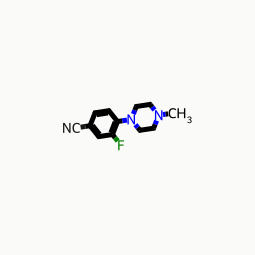 CN1CCN(c2ccc(C#N)cc2F)CC1